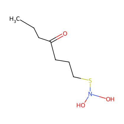 CCCC(=O)CCCSN(O)O